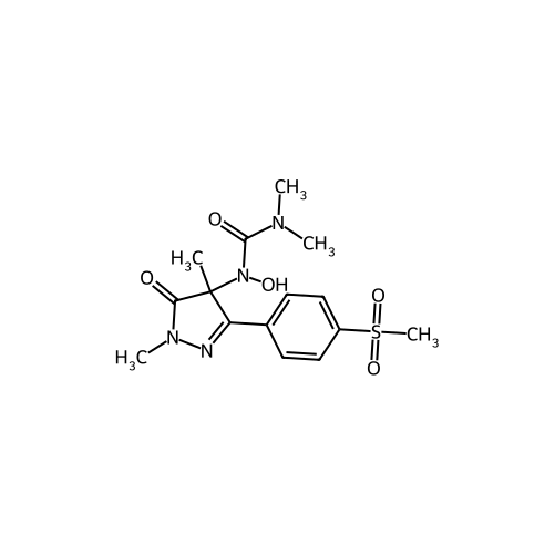 CN(C)C(=O)N(O)C1(C)C(=O)N(C)N=C1c1ccc(S(C)(=O)=O)cc1